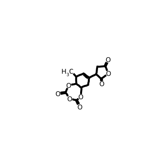 CC1C=C(C2CC(=O)OC2=O)CC2OC(=O)OC(=O)OC12